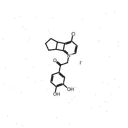 O=C(C[n+]1ccc(Cl)c2c1C1CCCC21)c1ccc(O)c(O)c1.[I-]